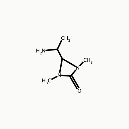 CC(N)C1N(C)C(=O)N1C